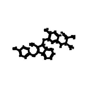 Cc1c(Oc2ccc(Cl)cc2)c2cccnc2n1Cc1cc(O[C@@H](C)C(=O)O)ccc1Cl